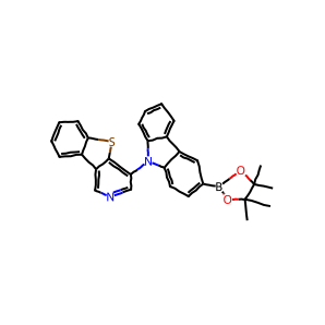 CC1(C)OB(c2ccc3c(c2)c2ccccc2n3-c2cncc3c2sc2ccccc23)OC1(C)C